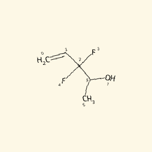 C=CC(F)(F)C(C)O